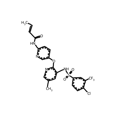 C/C=C/C(=O)Nc1ccc(Oc2ncc(C)cc2NS(=O)(=O)c2ccc(Cl)c(C(F)(F)F)c2)cn1